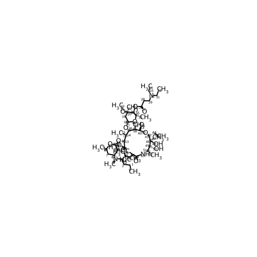 CCCCN(C)[C@H]1C[C@@H](C)O[C@@H](O[C@@H]2[C@@H](C)[C@H](O[C@H]3C[C@@](C)(OC)[C@@H](OC(=O)CCN(CC)CC)[C@H](C)O3)[C@@H](C)C(=O)O[C@H](CC)[C@@](C)(O)[C@H](O)[C@@H](C)NC(=O)[C@H](C)C[C@@]2(C)OC)[C@@H]1OC(C)=O